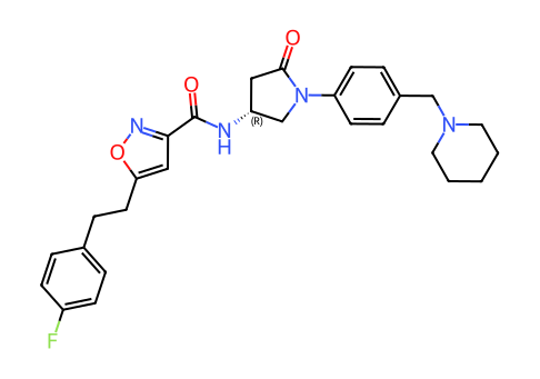 O=C(N[C@@H]1CC(=O)N(c2ccc(CN3CCCCC3)cc2)C1)c1cc(CCc2ccc(F)cc2)on1